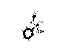 N#COP(=O)(O)c1ccccc1